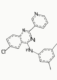 Cc1cc(C)cc(Nc2nc(-c3cccnc3)nc3ccc(Cl)cc23)c1